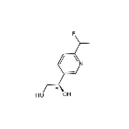 OC[C@H](O)c1ccc(C(F)F)nc1